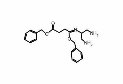 NCC(CN)N=C(CCC(=O)OCc1ccccc1)OCc1ccccc1